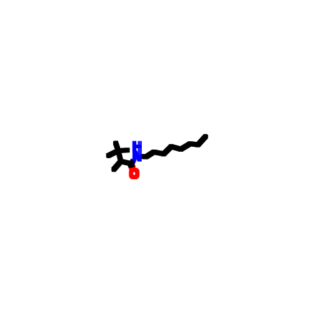 CCCCCCCCNC(=O)C(C)C(C)(C)C